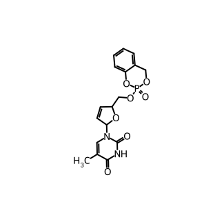 Cc1cn(C2C=CC(COP3(=O)OCc4ccccc4O3)O2)c(=O)[nH]c1=O